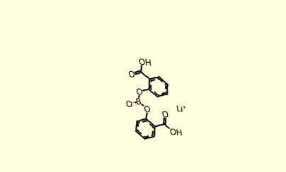 O=C(O)c1ccccc1OB([O-])Oc1ccccc1C(=O)O.[Li+]